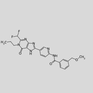 CCCn1c(C(F)F)nc2nc(-c3ccc(NC(=O)c4cccc(COC)c4)nc3)[nH]c2c1=O